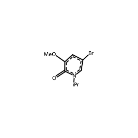 COc1cc(Br)cn(C(C)C)c1=O